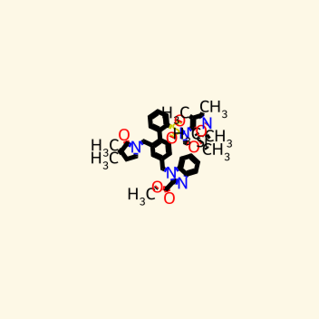 COC(=O)c1nc2ccccc2n1Cc1ccc(-c2ccccc2S(=O)(=O)N(CO[Si](C)(C)C)c2onc(C)c2C)c(CN2CCC(C)(C)C2=O)c1